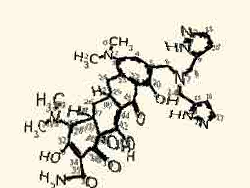 CN(C)c1cc(CN(Cc2ccn[nH]2)Cc2ccn[nH]2)c(O)c2c1C[C@H]1C[C@H]3[C@H](N(C)C)C(O)=C(C(N)=O)C(=O)[C@@]3(O)C(O)=C1C2=O